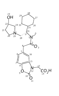 CN(C(=O)Cc1ccc2oc(=O)n(CC(=O)O)c2c1)[C@H](CN1CCC(O)C1)C1CCCCC1